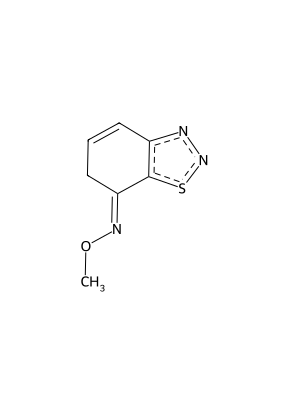 CON=C1CC=Cc2nnsc21